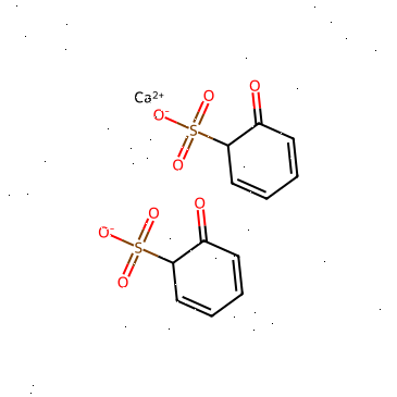 O=C1C=CC=CC1S(=O)(=O)[O-].O=C1C=CC=CC1S(=O)(=O)[O-].[Ca+2]